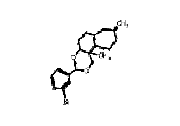 C=C1CCC2C(CCC3OC(c4cccc(Br)c4)OCC32C)C1